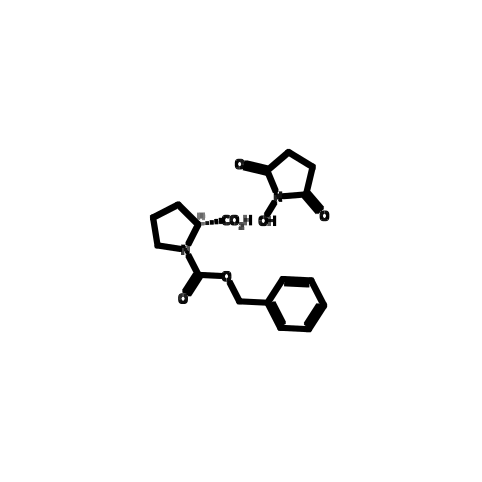 O=C(O)[C@H]1CCCN1C(=O)OCc1ccccc1.O=C1CCC(=O)N1O